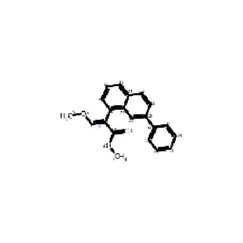 CO/C=C(/C(=O)OC)c1cccc2ccc(-c3ccccc3)cc12